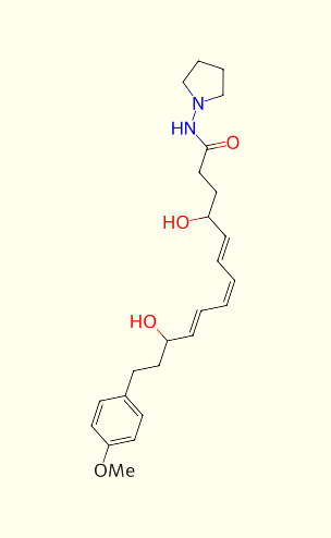 COc1ccc(CCC(O)/C=C/C=C\C=C\C(O)CCC(=O)NN2CCCC2)cc1